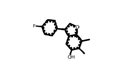 Cc1c(O)cc2c(-c3ccc(F)cc3)coc2c1C